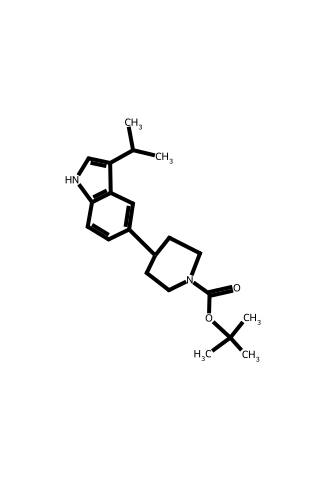 CC(C)c1c[nH]c2ccc(C3CCN(C(=O)OC(C)(C)C)CC3)cc12